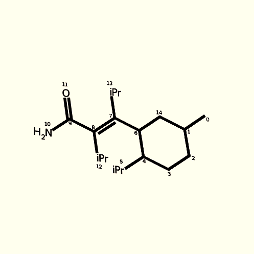 CC1CCC(C(C)C)C(C(=C(C(N)=O)C(C)C)C(C)C)C1